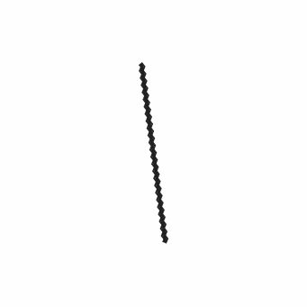 CCCCCCCCCCCCCCCCCCCCCCCCCCCCCCCCCCCCCCCCCCCCCCCCCCC